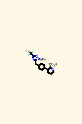 CCCCCn1nc(C(F)(F)CCC)nc1Cc1ccc(-c2cccnc2C(=O)O)cc1